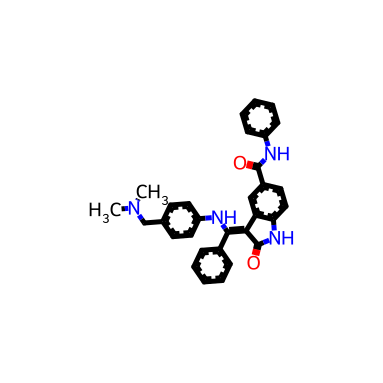 CN(C)Cc1ccc(NC(=C2C(=O)Nc3ccc(C(=O)Nc4ccccc4)cc32)c2ccccc2)cc1